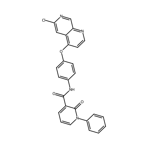 O=C(Nc1ccc(Oc2ccnc3cnc(Cl)cc23)cc1)c1cccn(-c2ccccc2)c1=O